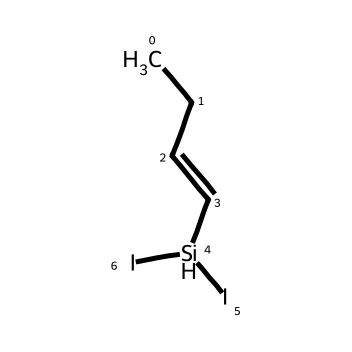 CCC=C[SiH](I)I